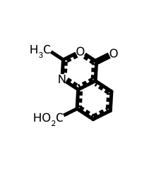 Cc1nc2c(C(=O)O)cccc2c(=O)o1